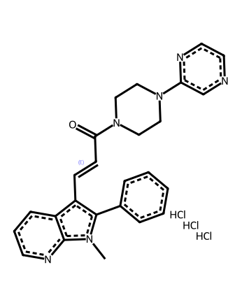 Cl.Cl.Cl.Cn1c(-c2ccccc2)c(/C=C/C(=O)N2CCN(c3cnccn3)CC2)c2cccnc21